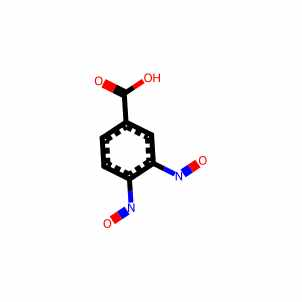 O=Nc1ccc(C(=O)O)cc1N=O